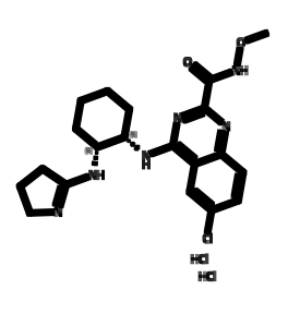 CONC(=O)c1nc(N[C@H]2CCCC[C@H]2NC2=NCCC2)c2cc(Cl)ccc2n1.Cl.Cl